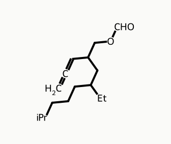 C=C=CC(COC=O)CC(CC)CCCC(C)C